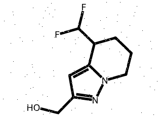 OCc1cc2n(n1)CCCC2C(F)F